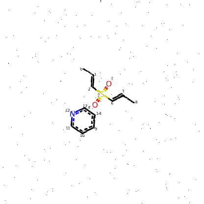 CC=CS(=O)(=O)C=CC.c1ccncc1